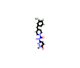 Cn1nc(NC(=O)N2CCC(Cc3ccc(F)c(C#N)c3)CC2)ccc1=O